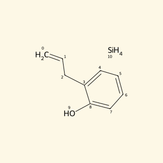 C=CCc1ccccc1O.[SiH4]